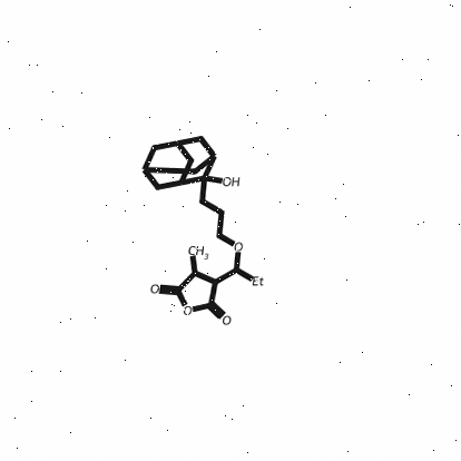 CCC(OCCCC1(O)C2CC3CC(C2)CC1C3)C1C(=O)OC(=O)C1C